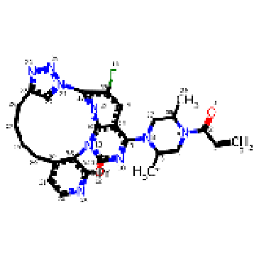 C=CC(=O)N1CC(C)N(c2nc(=O)n3c4nc(c(F)cc24)-n2cc(nn2)CCCCc2ccnc(C(C)C)c2-3)CC1C